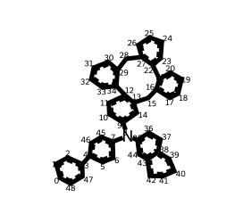 c1ccc(-c2ccc(N(c3ccc4c(c3)Cc3ccccc3-c3ccccc3Cc3ccccc3-4)c3ccc4ccccc4c3)cc2)cc1